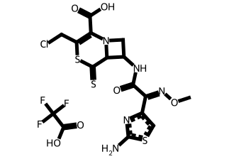 CON=C(C(=O)NC1CN2C(C(=O)O)=C(CCl)SC(=S)C12)c1csc(N)n1.O=C(O)C(F)(F)F